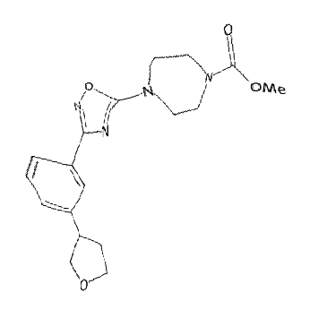 COC(=O)N1CCN(c2nc(-c3cccc(C4CCOC4)c3)no2)CC1